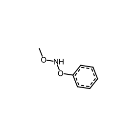 CONOc1ccccc1